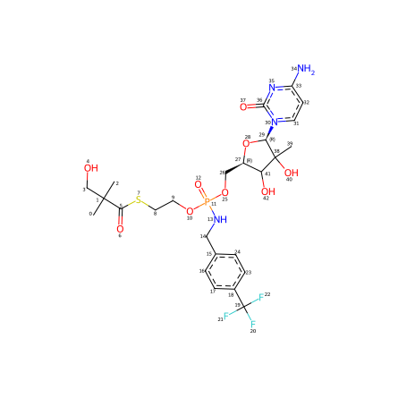 CC(C)(CO)C(=O)SCCOP(=O)(NCc1ccc(C(F)(F)F)cc1)OC[C@H]1O[C@@H](n2ccc(N)nc2=O)C(C)(O)C1O